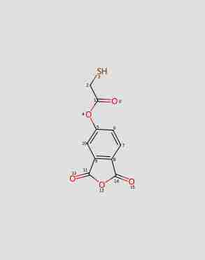 O=C(CS)Oc1ccc2c(c1)C(=O)OC2=O